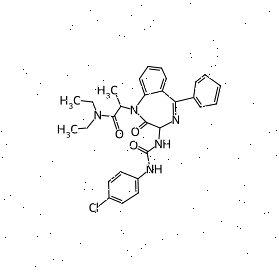 CCN(CC)C(=O)C(C)N1C(=O)C(NC(=O)Nc2ccc(Cl)cc2)N=C(c2ccccc2)c2ccccc21